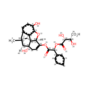 CC1CC[C@]23c4c5ccc(O)c4O[C@H]2C(OC(=O)[C@@H](OC(=O)[C@H](O)[C@@H](O)C(=O)O)c2ccccc2)=CC[C@@]3(O)[C@H]1C5